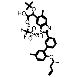 C=CC[C@H](C)Oc1ccc(C)cc1-c1cccc(C2=Nc3cc(C)c(C(OC(C)(C)C)C(=O)O)cc3[SH]2OS(=O)(=O)C(F)(F)F)c1